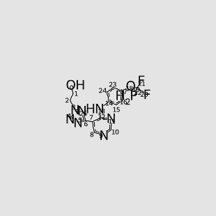 OCCn1nnc(-c2cncnc2Nc2ccc(OC(F)(F)P)cc2)n1